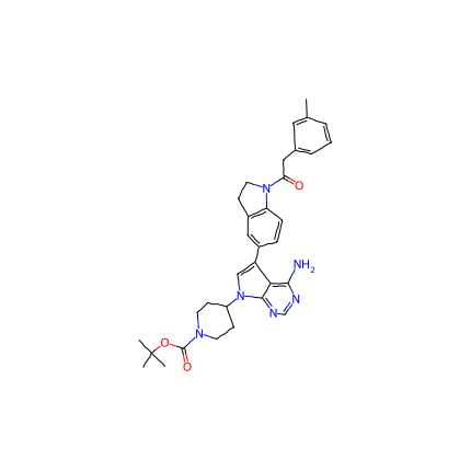 Cc1cccc(CC(=O)N2CCc3cc(-c4cn(C5CCN(C(=O)OC(C)(C)C)CC5)c5ncnc(N)c45)ccc32)c1